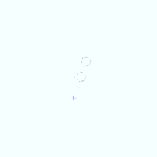 O=C(O)N1CCN(c2ccc(-c3ccc(Cl)c(Cl)c3)cn2)CC1